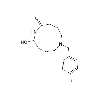 Cc1ccc(CN2CCCC(=O)NC(O)CCC2)cc1